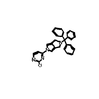 Clc1nccc(-n2cc3c(c2)CN(C(c2ccccc2)(c2ccccc2)c2ccccc2)C3)n1